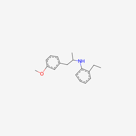 CCc1ccccc1NC(C)Cc1cccc(OC)c1